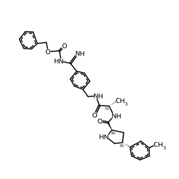 Cc1cccc([C@@H]2CN[C@@H](C(=O)N[C@@H](C)C(=O)NCc3ccc(C(=N)NC(=O)OCc4ccccc4)cc3)C2)c1